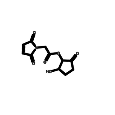 O=C(CN1C(=O)C=CC1=O)OC1C(=O)CCC1O